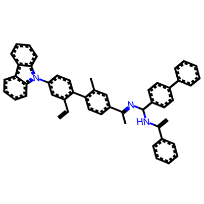 C=Cc1cc(-n2c3ccccc3c3ccccc32)ccc1-c1ccc(/C(C)=N/C(NC(=C)c2ccccc2)c2ccc(-c3ccccc3)cc2)cc1C